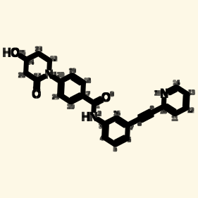 O=C(Nc1cccc(C#Cc2ccccn2)c1)c1ccc(N2CCC(O)CC2=O)cc1